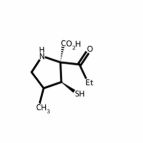 CCC(=O)[C@]1(C(=O)O)NCC(C)[C@@H]1S